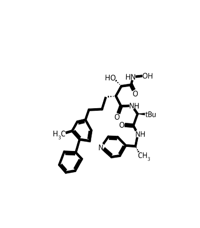 Cc1cc(CCC[C@@H](C(=O)N[C@H](C(=O)N[C@H](C)c2ccncc2)C(C)(C)C)[C@H](O)C(=O)NO)ccc1-c1ccccc1